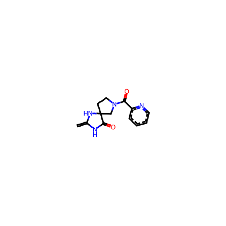 C=C1NC(=O)C2(CCN(C(=O)c3ccccn3)C2)N1